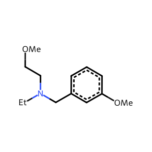 CCN(CCOC)Cc1cccc(OC)c1